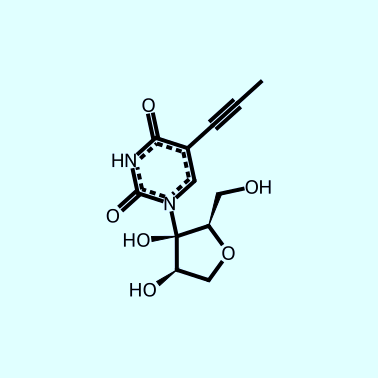 CC#Cc1cn([C@@]2(O)[C@H](O)CO[C@@H]2CO)c(=O)[nH]c1=O